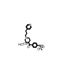 CS(=O)(=O)Nc1ccc(C(=O)C2CCN(CCCc3ccncc3)CC2)cc1.Cl.Cl